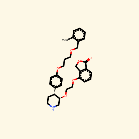 COc1ccccc1COCCCOc1ccc([C@H]2CCNC[C@@H]2OCCOc2cccc3c2COC3=O)cc1